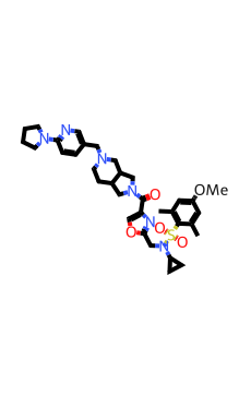 COc1cc(C)c(S(=O)(=O)N(Cc2nc(C(=O)N3CC4CCN(Cc5ccc(N6CCCC6)nc5)CC4C3)co2)C2CC2)c(C)c1